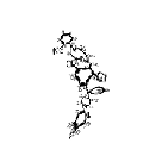 N#Cc1ccccc1N1CCN(Cc2c(Cl)ccc(C(=O)N3CCN(c4ccc(F)cn4)CC3)c2Cl)CC1